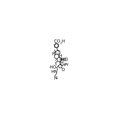 CC(C)C1=C2[C@H]3CC[C@@H]4[C@@]5(C)CC=C(c6ccc(C(=O)O)cc6)C(C)(C)[C@@H]5CC[C@@]4(C)[C@]3(C)CC[C@@]2([C@@H](O)CNCCN(C)C)CC1=O.Cl.Cl